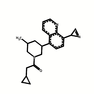 CC1CC(c2ccc(C3C=N3)c3ncccc23)CN(C(=O)CC2CC2)C1